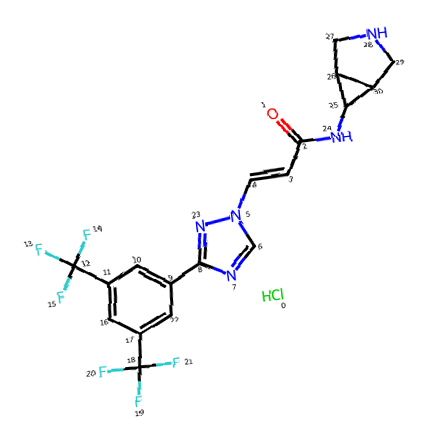 Cl.O=C(C=Cn1cnc(-c2cc(C(F)(F)F)cc(C(F)(F)F)c2)n1)NC1C2CNCC21